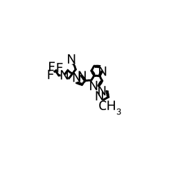 Cc1ccn(-c2cc3ncccc3c(-c3ccn(C4(CC#N)CN(CC(F)(F)F)C4)n3)n2)n1